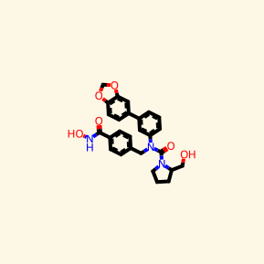 O=C(NO)c1ccc(CN(C(=O)N2CCCC2CO)c2cccc(-c3ccc4c(c3)OCO4)c2)cc1